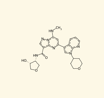 CNc1cc(-c2cn(C3CCOCC3)c3ncccc23)nc2c(C(=O)N[C@@H]3COC[C@@H]3O)cnn12